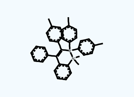 Cc1ccc(C2=C(c3ccccc3)c3ccccc3[N+](C)(C)[B-]2(c2ccc(C)cc2)c2ccc(C)cc2)cc1